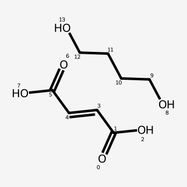 O=C(O)C=CC(=O)O.OCCCCO